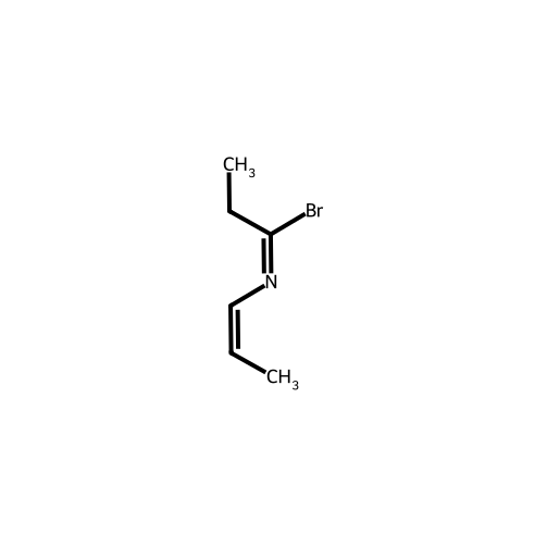 C/C=C\N=C(\Br)CC